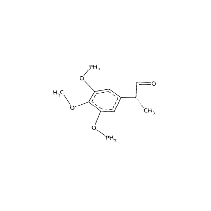 COc1c(OP)cc([C@@H](C)C=O)cc1OP